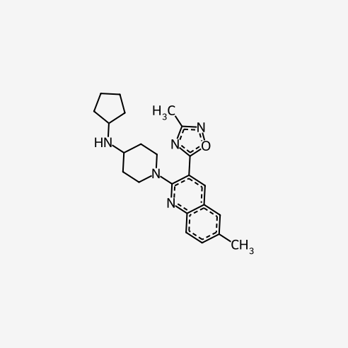 Cc1ccc2nc(N3CCC(NC4CCCC4)CC3)c(-c3nc(C)no3)cc2c1